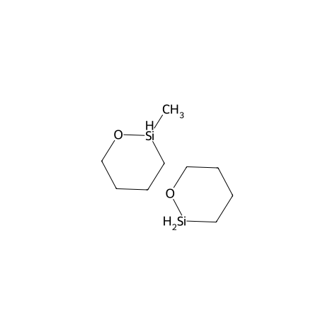 C1CC[SiH2]OC1.C[SiH]1CCCCO1